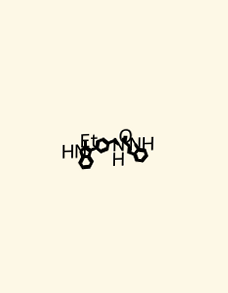 CCc1[nH]c2ccccc2c1-c1ccc(CNC(=O)c2cc3ccccc3[nH]2)cc1